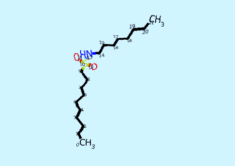 CCCCCCCCCCS(=O)(=O)NCCCCCCCC